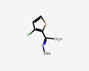 CO/N=C(\C(=O)O)c1sccc1Cl